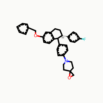 Fc1ccc([C@H]2CCc3cc(OCc4ccccc4)ccc3C2c2ccc(N3CCC4(CC3)CO4)cc2)cc1